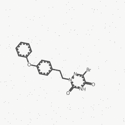 O=c1[nH]c(=O)n(CCc2ccc(Oc3ccccc3)cc2)nc1Br